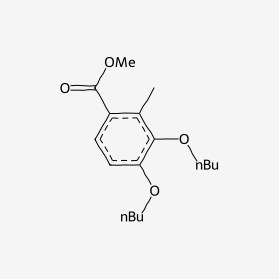 CCCCOc1ccc(C(=O)OC)c(C)c1OCCCC